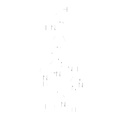 C=CC(=O)Nc1cccc(Oc2nc(Nc3cnn(CC(=O)N(C)C)c3)nc3[nH]ccc23)c1